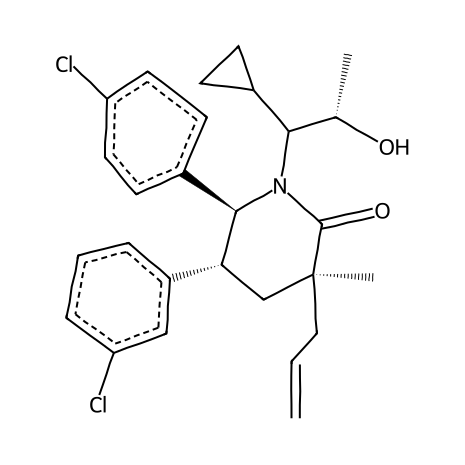 C=CC[C@@]1(C)C[C@H](c2cccc(Cl)c2)[C@@H](c2ccc(Cl)cc2)N(C(C2CC2)[C@H](C)O)C1=O